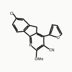 COc1nc2c(c(-c3ccco3)c1C#N)Cc1cc(Cl)ccc1-2